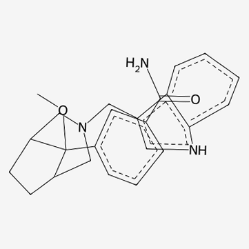 COC1(c2cccc(C(N)=O)c2)C2CCC1CN(Cc1c[nH]c3ccccc13)C2